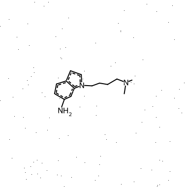 CN(C)CCCCn1ccc2ccc(N)cc21